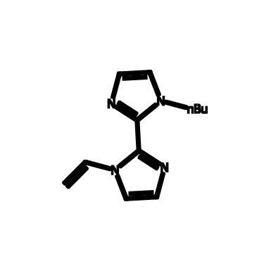 C=Cn1ccnc1-c1nccn1CCCC